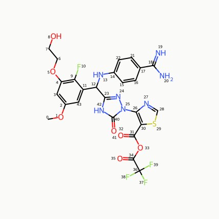 COc1cc(OCCO)c(F)c(C(Nc2ccc(C(=N)N)cc2)c2nn(-c3ncsc3C(=O)OC(=O)C(F)(F)F)c(=O)[nH]2)c1